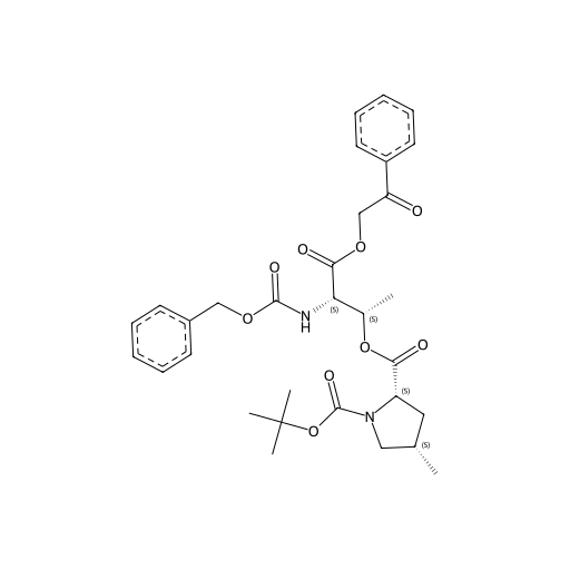 C[C@H]1C[C@@H](C(=O)O[C@@H](C)[C@H](NC(=O)OCc2ccccc2)C(=O)OCC(=O)c2ccccc2)N(C(=O)OC(C)(C)C)C1